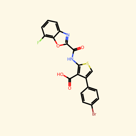 O=C(Nc1scc(-c2ccc(Br)cc2)c1C(=O)O)c1nc2cccc(F)c2o1